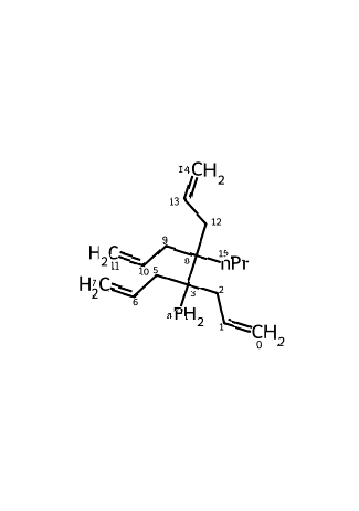 C=CCC(P)(CC=C)C(CC=C)(CC=C)CCC